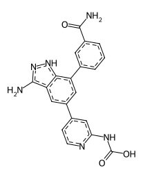 NC(=O)c1cccc(-c2cc(-c3ccnc(NC(=O)O)c3)cc3c(N)n[nH]c23)c1